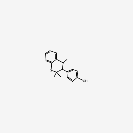 CC1c2ccccc2SC(C)(C)C1c1ccc(O)cc1